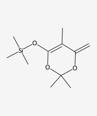 C=C1OC(C)(C)OC(O[Si](C)(C)C)=C1C